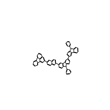 c1ccc(-n2c3ccccc3c3cc(-c4ccc5c(c4)c4cc(-c6ccc7cc(-c8cc9c%10c(cccc%10c8)-c8ccccc8-9)ccc7c6)ccc4n5-c4ccccc4)ccc32)cc1